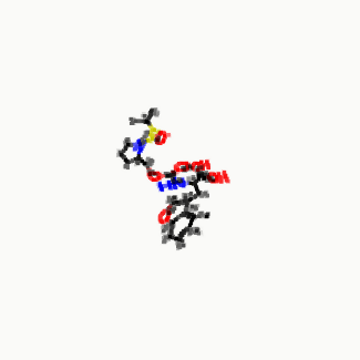 CC(C)[S+]([O-])N1CCCC1COC(=O)NC(Cc1coc2ccccc12)B(O)O